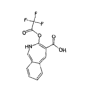 O=C(O)C1=C(OC(=O)C(F)(F)F)NC=c2ccccc2=C1